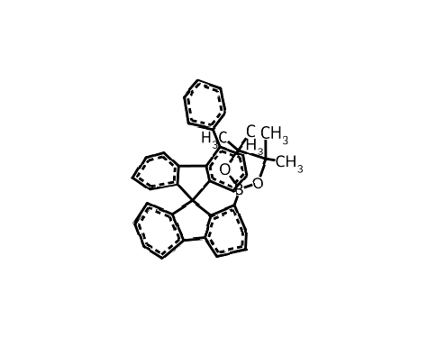 CC1(C)OB(c2cccc3c2C2(c4ccccc4-3)c3ccccc3-c3c(-c4ccccc4)cccc32)OC1(C)C